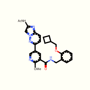 COc1ncc(-c2ccc3nc(NC(C)=O)cn3n2)cc1C(=O)NCc1ccccc1OCC1CCC1